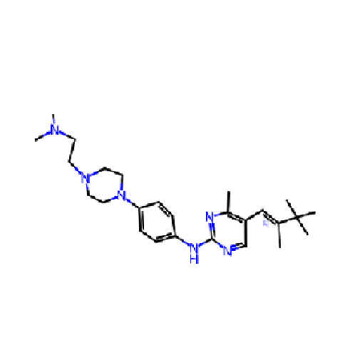 C/C(=C\c1cnc(Nc2ccc(N3CCN(CCN(C)C)CC3)cc2)nc1C)C(C)(C)C